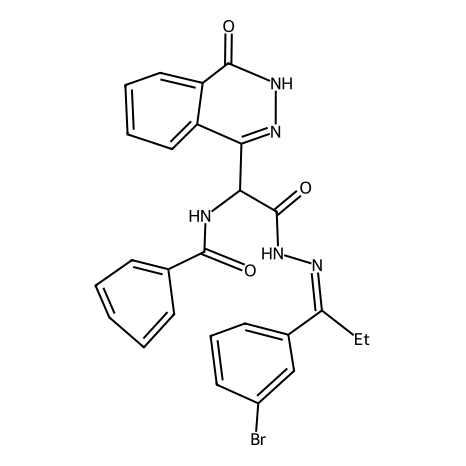 CCC(=NNC(=O)C(NC(=O)c1ccccc1)c1n[nH]c(=O)c2ccccc12)c1cccc(Br)c1